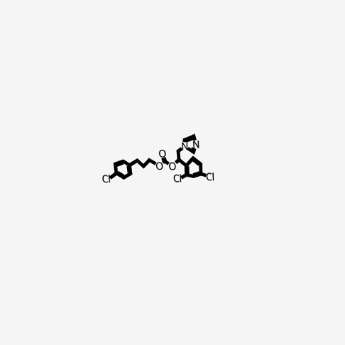 O=C(OCCCc1ccc(Cl)cc1)OC(Cn1ccnc1)c1ccc(Cl)cc1Cl